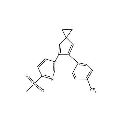 CS(=O)(=O)c1ccc(C2=CC3(C=C2c2ccc(C(F)(F)F)cc2)CC3)cn1